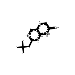 CC(C)(C)Cc1ncc2ncc(=O)[nH]c2n1